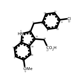 COc1ccc2[nH]c(Cc3ccc(Cl)cc3)c(CC(=O)O)c2c1